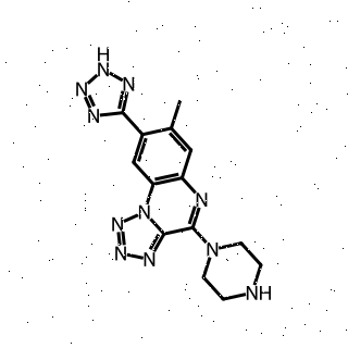 Cc1cc2nc(N3CCNCC3)c3nnnn3c2cc1-c1nn[nH]n1